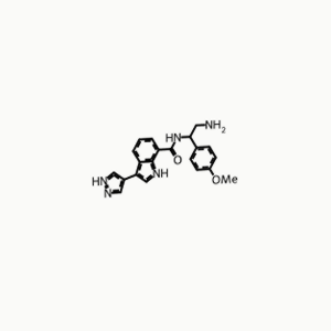 COc1ccc(C(CN)NC(=O)c2cccc3c(-c4cn[nH]c4)c[nH]c23)cc1